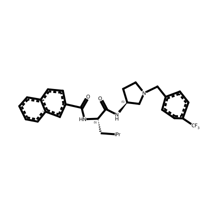 CC(C)C[C@H](NC(=O)c1ccc2ccccc2c1)C(=O)N[C@H]1CCN(Cc2ccc(C(F)(F)F)cc2)C1